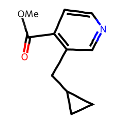 COC(=O)c1ccncc1CC1CC1